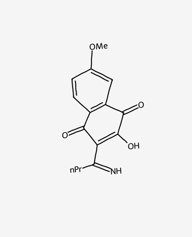 CCCC(=N)C1=C(O)C(=O)c2cc(OC)ccc2C1=O